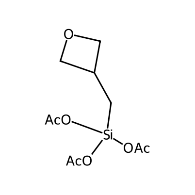 CC(=O)O[Si](CC1COC1)(OC(C)=O)OC(C)=O